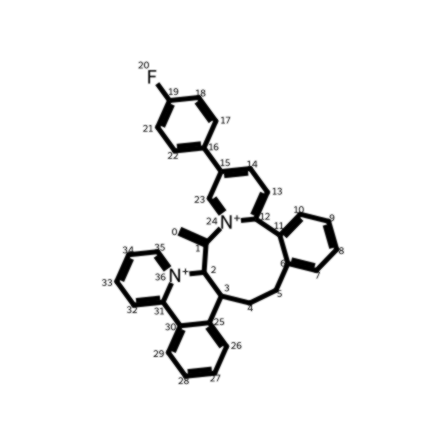 C=C1C2C(CCc3ccccc3-c3ccc(-c4ccc(F)cc4)c[n+]31)c1ccccc1-c1cccc[n+]12